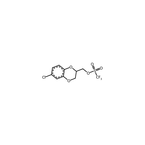 O=S(=O)(OCC1COc2cc(Cl)ccc2O1)C(F)(F)F